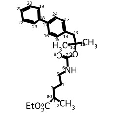 CCOC(=O)[C@H](C)CCCNC(=O)OC(C)(C)Cc1ccc(-c2ccccc2)cc1